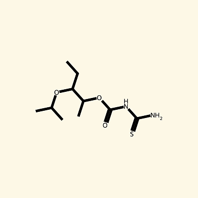 CCC(OC(C)C)C(C)OC(=O)NC(N)=S